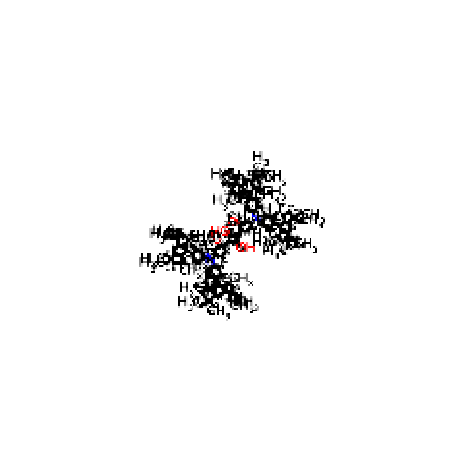 CCC1(CC)CC(C)(C)c2c1cc1c(c2-c2ccc(N(c3ccc(-c4c5c(cc6c4C(C)(C)CC6(CC)CC)C(CC)(CC)CC5(C)C)cc3)c3ccc(C4C(O)C(c5ccc(N(c6ccc(-c7c8c(cc9c7C(C)(C)CC9(CC)CC)C(CC)(CC)CC8(C)C)cc6)c6ccc(-c7c8c(cc9c7C(C)(C)CC9(CC)CC)C(CC)(CC)CC8(C)C)cc6)cc5OC)C4O)c(OC)c3)cc2)C(C)(C)CC1(CC)CC